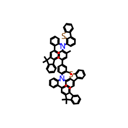 Cc1cc(-c2ccc(N(c3ccccc3-c3ccc4c(c3)C(C)(C)c3ccccc3-4)c3cccc4c3sc3ccccc34)c(C)c2)ccc1N(c1ccccc1-c1ccc2c(c1)C(C)(C)c1ccccc1-2)c1cccc2c1sc1ccccc12